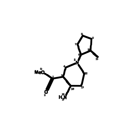 COC(=O)C1CN(C2CCCC2C)CCC1N